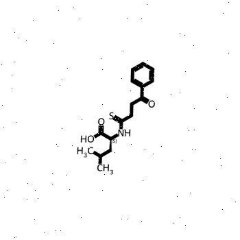 CC(C)C[C@H](NC(=S)CCC(=O)c1ccccc1)C(=O)O